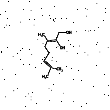 CC(C)=CCCC(C)=C(O)CO